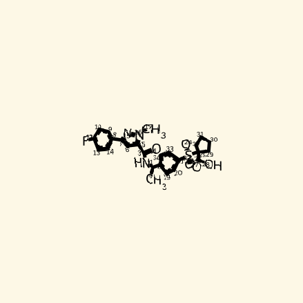 CC(NC(=O)c1cc(-c2ccc(F)cc2)nn1C)c1ccc(S(=O)(=O)C2(C(=O)O)CCCC2)cc1